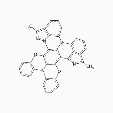 Cc1nn2c3c(cccc13)B1c3c-2c2c4c(c3-n3nc(C)c5cccc1c53)Oc1ccccc1N4c1ccccc1O2